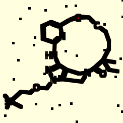 CCC1(C)CCCCC2CC(C2)c2cccc(n2)Nc2nn(COCC[Si](C)(C)C)c3c2CN(C3)C1=O